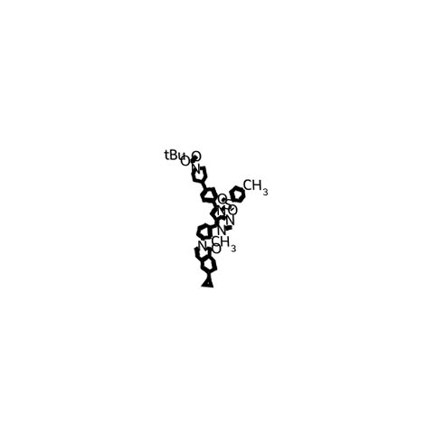 Cc1ccc(S(=O)(=O)n2c(-c3ccc(C4CCN(C(=O)OC(C)(C)C)CC4)cc3)cc3c(-c4cccc(-n5ccc6cc(C7CC7)ccc6c5=O)c4C)ncnc32)cc1